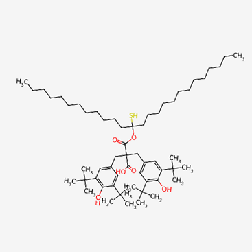 CCCCCCCCCCCCCC(S)(CCCCCCCCCCCC)OC(=O)C(Cc1cc(C(C)(C)C)c(O)c(C(C)(C)C)c1)(Cc1cc(C(C)(C)C)c(O)c(C(C)(C)C)c1)C(=O)O